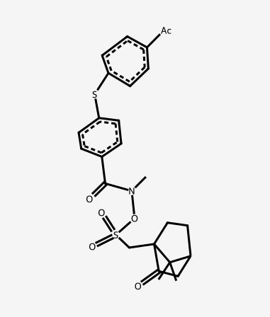 CC(=O)c1ccc(Sc2ccc(C(=O)N(C)OS(=O)(=O)CC34CCC(CC3=O)C4(C)C)cc2)cc1